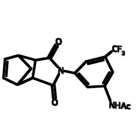 CC(=O)Nc1cc(N2C(=O)C3C4C=CC(C4)C3C2=O)cc(C(F)(F)F)c1